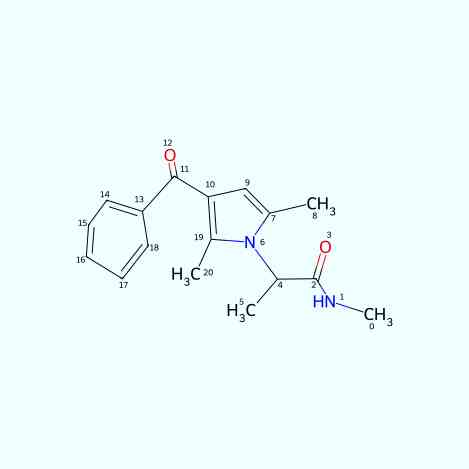 CNC(=O)C(C)n1c(C)cc(C(=O)c2ccccc2)c1C